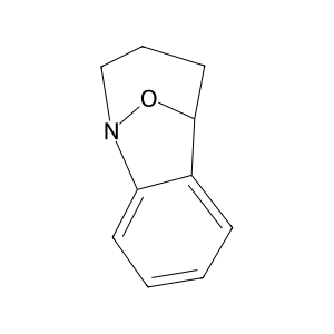 c1ccc2c(c1)C1CCCN2O1